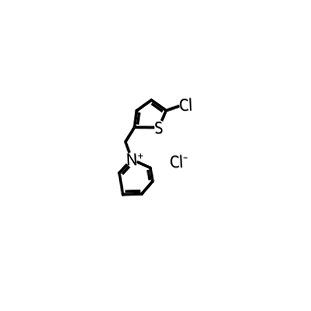 Clc1ccc(C[n+]2ccccc2)s1.[Cl-]